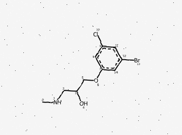 CNCC(O)COc1cc(Cl)cc(Br)c1